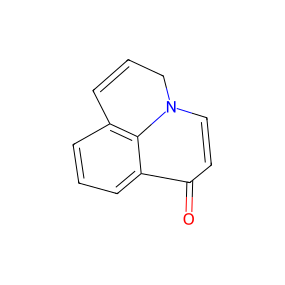 O=c1ccn2c3c(cccc13)C=CC2